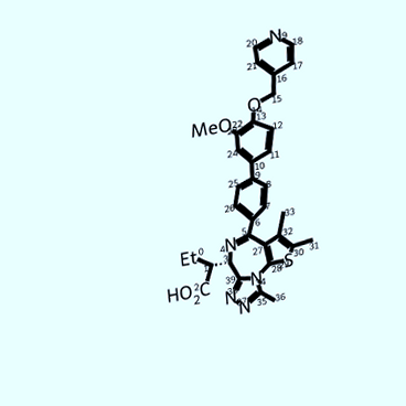 CCC(C(=O)O)[C@@H]1N=C(c2ccc(-c3ccc(OCc4ccncc4)c(OC)c3)cc2)c2c(sc(C)c2C)-n2c(C)nnc21